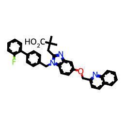 CC(C)(Cc1nc2cc(OCc3ccc4ccccc4n3)ccc2n1Cc1ccc(-c2ccccc2F)cc1)C(=O)O